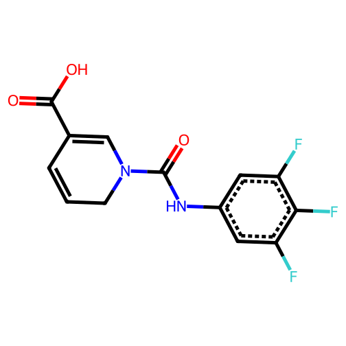 O=C(O)C1=CN(C(=O)Nc2cc(F)c(F)c(F)c2)CC=C1